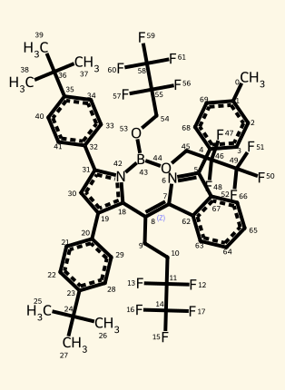 Cc1ccc(C2=N/C(=C(/CCC(F)(F)C(F)(F)F)c3c(-c4ccc(C(C)(C)C)cc4)cc(-c4ccc(C(C)(C)C)cc4)n3B(OCC(F)(F)C(F)(F)F)OCC(F)(F)C(F)(F)F)c3ccccc32)cc1